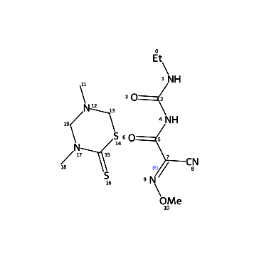 CCNC(=O)NC(=O)/C(C#N)=N/OC.CN1CSC(=S)N(C)C1